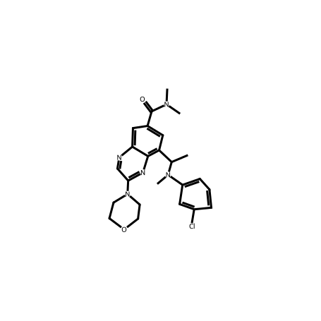 CC(c1cc(C(=O)N(C)C)cc2ncc(N3CCOCC3)nc12)N(C)c1cccc(Cl)c1